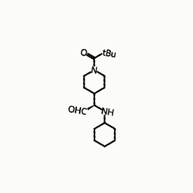 CC(C)(C)C(=O)N1CCC([C@H](C=O)NC2CCCCC2)CC1